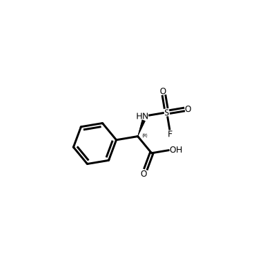 O=C(O)[C@H](NS(=O)(=O)F)c1ccccc1